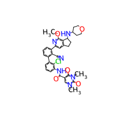 COc1nc(-c2cccc(-c3cccc(NC(=O)c4cn(C)c(=O)n(C)c4=O)c3Cl)c2C#N)cc2c1C(NC1CCOCC1)CC2